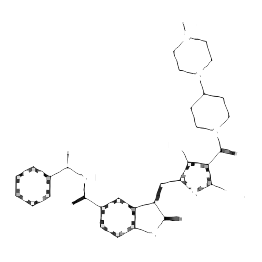 CC[C@@H](NC(=O)c1ccc2c(c1)C(=Cc1[nH]c(C)c(C(=O)N3CCC(N4CCN(C)CC4)CC3)c1C)C(=O)N2)c1ccccc1